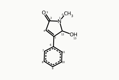 CN1C(=O)C=C(c2ccccc2)C1O